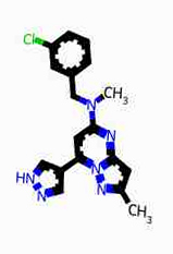 Cc1cc2nc(N(C)Cc3cccc(Cl)c3)cc(-c3cn[nH]c3)n2n1